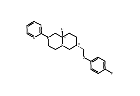 Fc1ccc(OC[C@H]2CC[C@H]3CN(c4ncccn4)CCN3C2)cc1